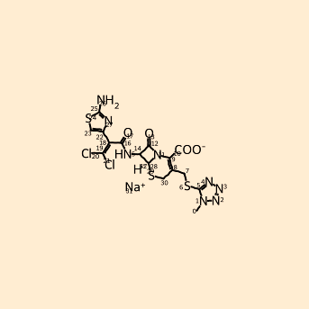 Cn1nnnc1SCC1=C(C(=O)[O-])N2C(=O)C(NC(=O)C(=C(Cl)Cl)c3csc(N)n3)[C@@H]2SC1.[Na+]